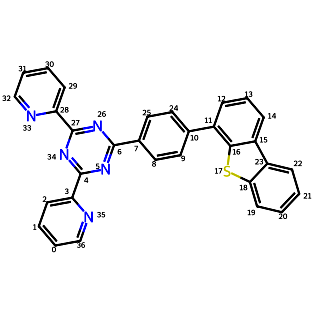 c1ccc(-c2nc(-c3ccc(-c4cccc5c4sc4ccccc45)cc3)nc(-c3ccccn3)n2)nc1